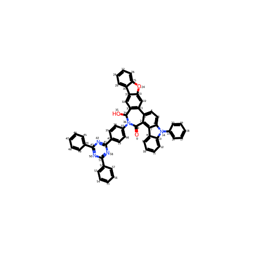 O=C1c2c(ccc3c2c2ccccc2n3-c2ccccc2)-c2cc3oc4ccccc4c3cc2C(O)N1c1ccc(-c2nc(-c3ccccc3)nc(-c3ccccc3)n2)cc1